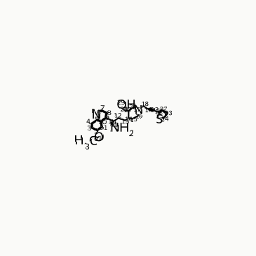 COc1ccc2nccc([C@@H](N)CC[C@@H]3CCN(CC#Cc4cccs4)C[C@@H]3CO)c2c1